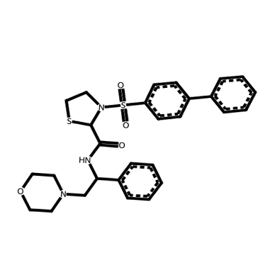 O=C(NC(CN1CCOCC1)c1ccccc1)C1SCCN1S(=O)(=O)c1ccc(-c2ccccc2)cc1